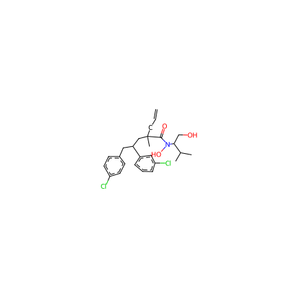 C=CCC(C)(CC(Cc1ccc(Cl)cc1)c1cccc(Cl)c1)C(=O)N(O)C(CO)C(C)C